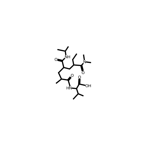 CCC(CC(CC(C)C(=O)NC(C(=O)O)C(C)C)C(=O)NC(C)C)C(=O)N(C)C